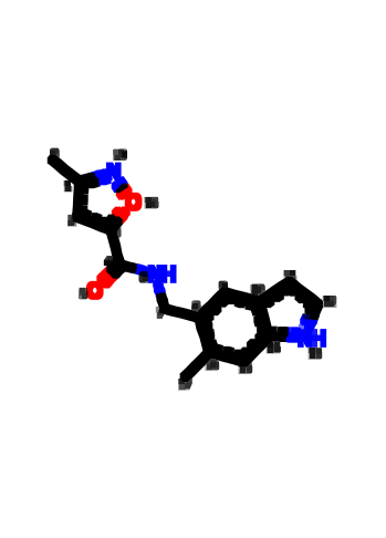 Cc1cc(C(=O)NCc2cc3cc[nH]c3cc2C)on1